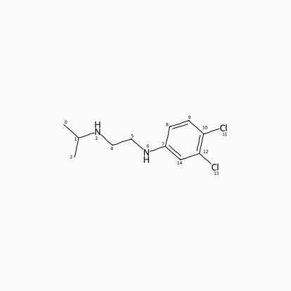 CC(C)NCCNc1ccc(Cl)c(Cl)c1